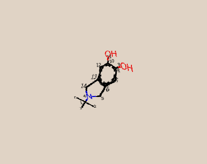 CC(C)(C)N1Cc2cc(O)c(O)cc2C1